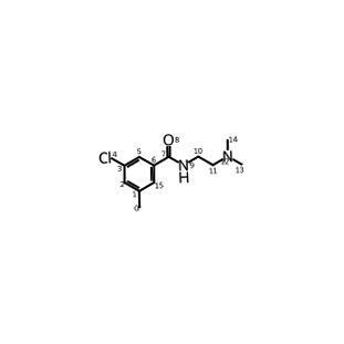 Cc1cc(Cl)cc(C(=O)NCCN(C)C)c1